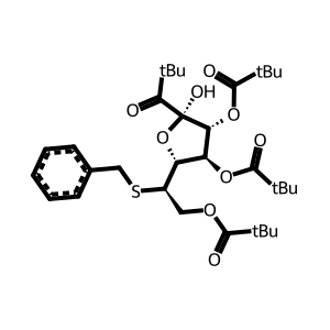 CC(C)(C)C(=O)OC[C@@H](SCc1ccccc1)[C@@H]1O[C@@](O)(C(=O)C(C)(C)C)[C@H](OC(=O)C(C)(C)C)[C@H]1OC(=O)C(C)(C)C